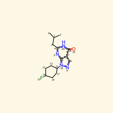 CC(C)Cc1nc2c(cnn2C2CCC(F)CC2)c(=O)[nH]1